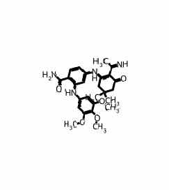 COc1cc(Nc2cc(NC3=C(C(C)=N)C(=O)CC(C)(C)C3)ccc2C(N)=O)cc(OC)c1OC